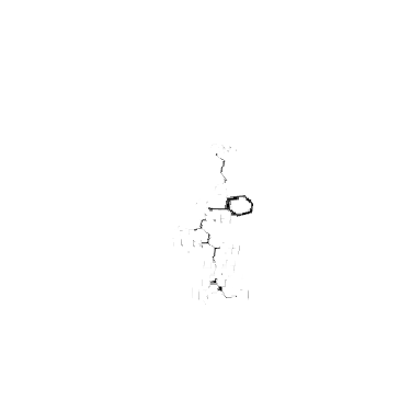 COCCCCOc1ccccc1C(=O)NCC(CC(N)C(O)CNC(=O)C(C)(C)CCl)C(C)C